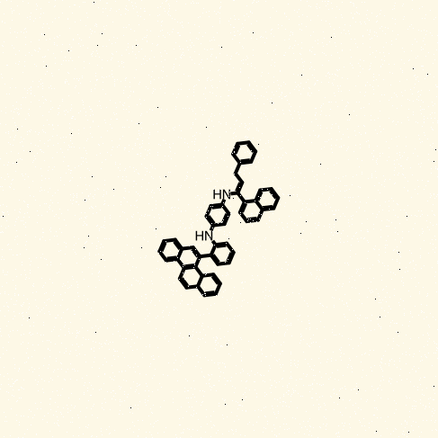 C1=CC2C=Cc3c(c(-c4ccccc4Nc4ccc(N/C(=C\Cc5ccccc5)c5cccc6ccccc56)cc4)cc4ccccc34)C2C=C1